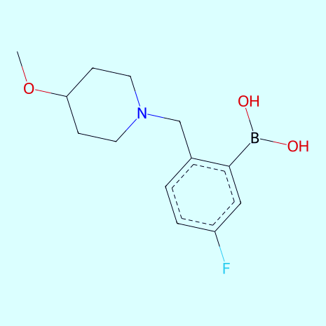 COC1CCN(Cc2ccc(F)cc2B(O)O)CC1